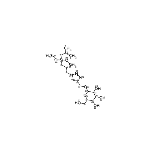 C=C(C)C[Si](CCCn1cc(COC2OC(CO)C(O)C(O)C2O)nn1)(O[SiH3])O[SiH3]